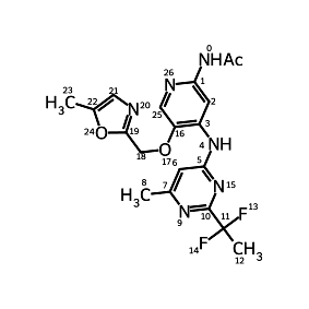 CC(=O)Nc1cc(Nc2cc(C)nc(C(C)(F)F)n2)c(OCc2ncc(C)o2)cn1